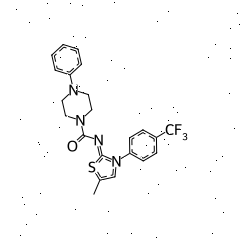 Cc1cn(-c2ccc(C(F)(F)F)cc2)c(=NC(=O)N2CCN(c3ccccc3)CC2)s1